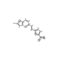 Cc1ccc(/C=C\C(=O)/C=C/c2ccc([N+](=O)[O-])o2)o1